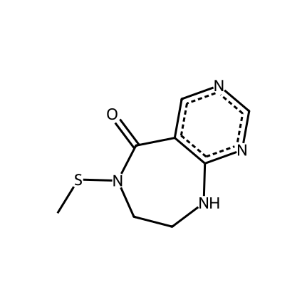 CSN1CCNc2ncncc2C1=O